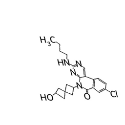 CCCCNc1ncc2c3ccc(Cl)cc3c(=O)n(C3CC4(CC(O)C4)C3)c2n1